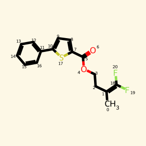 CC(CCOC(=O)c1ccc(-c2ccccc2)s1)=C(F)F